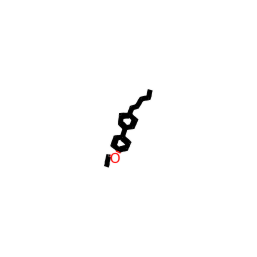 CCCCCc1ccc(-c2ccc(OCC)cc2)cc1